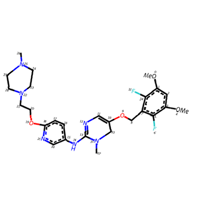 COc1cc(OC)c(F)c(COC2=CN=C(Nc3ccc(OCCN4CCN(C)CC4)nc3)N(C)C2)c1F